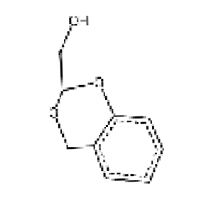 OCC1OCc2ccccc2O1